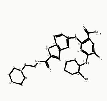 NC(=O)c1cc(F)c(NC2CCCCC2N)nc1Nc1ccc2[nH]c(C(=O)NCCN3CCOCC3)cc2c1